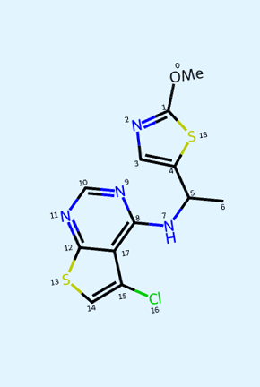 COc1ncc(C(C)Nc2ncnc3scc(Cl)c23)s1